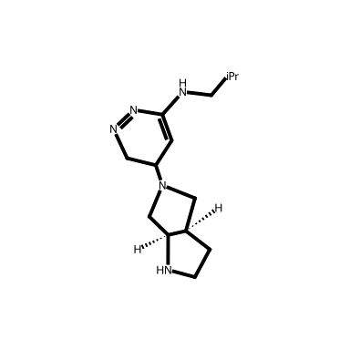 CC(C)CNC1=CC(N2C[C@H]3CCN[C@H]3C2)CN=N1